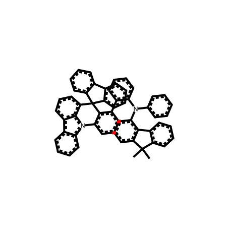 CC1(C)c2ccccc2-c2c(N(c3ccccc3)c3ccccc3-c3cccc4c3C3(c5ccccc5-c5ccccc53)c3cccc5c6ccccc6n-4c35)cccc21